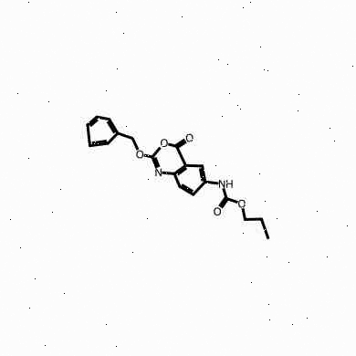 CCCOC(=O)Nc1ccc2nc(OCc3ccccc3)oc(=O)c2c1